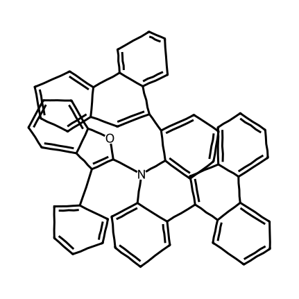 c1ccc(-c2c(N(c3ccccc3-c3cc4ccccc4c4ccccc34)c3ccccc3-c3cc4ccccc4c4ccccc34)oc3ccccc23)cc1